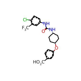 O=C(Nc1ccc(Cl)c(C(F)(F)F)c1)N[C@H]1CC[C@H](Oc2ccc(C(=O)O)cc2)CC1